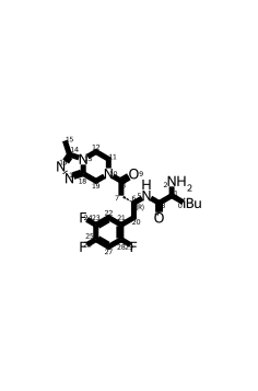 CCC(C)C(N)C(=O)N[C@@H](CC(=O)N1CCn2c(C)nnc2C1)Cc1cc(F)c(F)cc1F